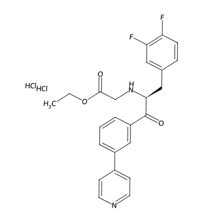 CCOC(=O)CN[C@@H](Cc1ccc(F)c(F)c1)C(=O)c1cccc(-c2ccncc2)c1.Cl.Cl